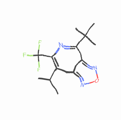 CC(C)c1c(C(F)(F)F)nc(C(C)(C)C)c2nonc12